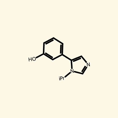 CC(C)n1cncc1-c1cccc(O)c1